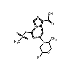 CC1COC(Br)CN1c1cc(CS(C)(=O)=O)n2cnc(C(=O)O)c2n1